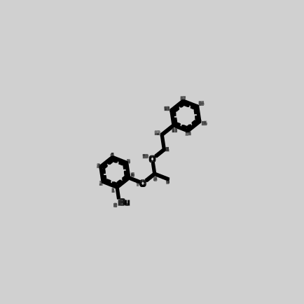 CCC(C)c1ccccc1OC(C)OCCc1ccccc1